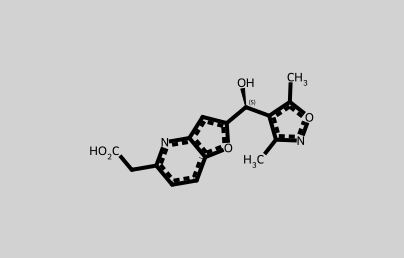 Cc1noc(C)c1[C@H](O)c1cc2nc(CC(=O)O)ccc2o1